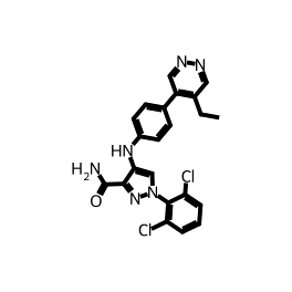 CCc1cnncc1-c1ccc(Nc2cn(-c3c(Cl)cccc3Cl)nc2C(N)=O)cc1